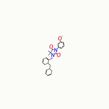 COc1cccc(N2C(=O)N(CC3=CC=CCC3CC3C=CC=CC3)C(C)(C)C2=O)c1